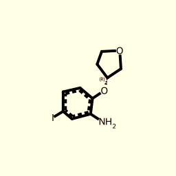 Nc1cc(I)ccc1O[C@@H]1CCOC1